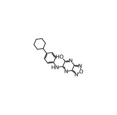 Oc1nc2nonc2nc1Nc1ccc(C2CCCCC2)cc1